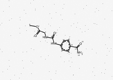 COC(=O)CNC(=O)Nc1ccc(C(N)=O)cc1